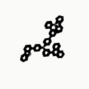 c1cc(-c2ccc(N(c3ccc(-c4cccc5c4oc4ccccc45)cc3)c3cccc(-c4cc5ccccc5c5ccccc45)c3)cc2)cc(-c2ccccc2-n2c3ccccc3c3ccccc32)c1